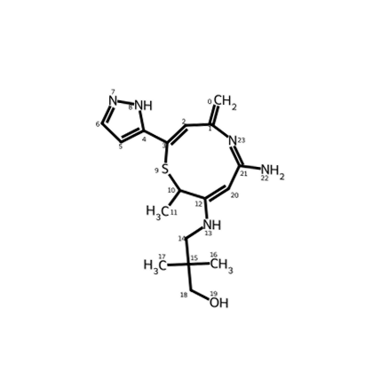 C=C1/C=C(/c2ccn[nH]2)SC(C)/C(NCC(C)(C)CO)=C\C(N)=N/1